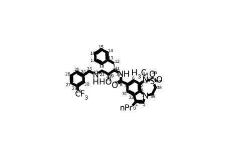 CCCc1cn2c3c(cc(C(=O)N[C@@H](Cc4ccccc4)[C@H](O)CNCc4cccc(C(F)(F)F)c4)cc13)N(C)S(=O)(=O)CC2